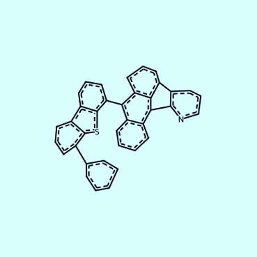 c1ccc(-c2cccc3c2sc2c(-c4c5ccccc5c5c6c(cccc46)-c4cccnc4-5)cccc23)cc1